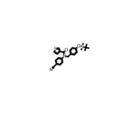 CC(C)(C)[Si](C)(C)Oc1ccc(CN(C(=O)c2ccsc2)c2ccc(C#N)cc2)cc1